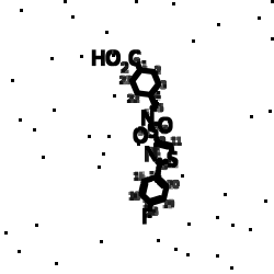 O=C(O)C1CCC(/C=N/S(=O)(=O)c2csc(-c3ccc(F)cc3)n2)CC1